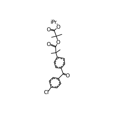 CC(C)OC(=O)C(C)(C)OC(=O)C(C)(C)c1ccc(C(=O)c2ccc(Cl)cc2)cc1